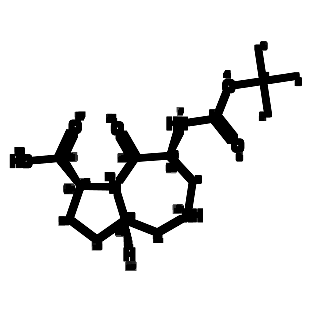 CC(C)(C)OC(=O)N[C@H]1CNC[C@H]2CC[C@@H](C(=O)O)N2C1=O